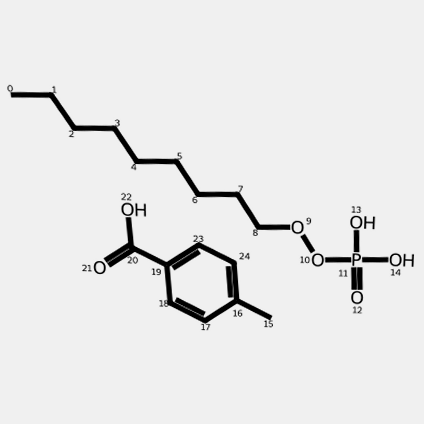 CCCCCCCCCOOP(=O)(O)O.Cc1ccc(C(=O)O)cc1